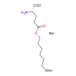 CCCCCCCCCCCCCCCCOC(=O)CC[C@H](N)C(=O)[O-].[Na+]